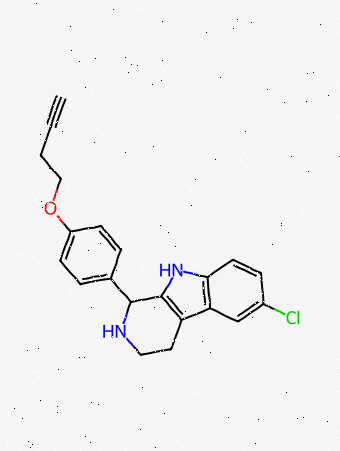 C#CCCOc1ccc(C2NCCc3c2[nH]c2ccc(Cl)cc32)cc1